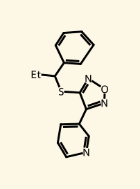 CCC(Sc1nonc1-c1cccnc1)c1ccccc1